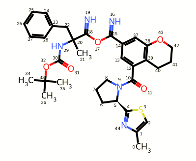 Cc1csc([C@H]2CCCN2C(=O)c2cc(C(=N)OC(=N)C(C)(Cc3ccccc3)NC(=O)OC(C)(C)C)cc3c2CCCO3)n1